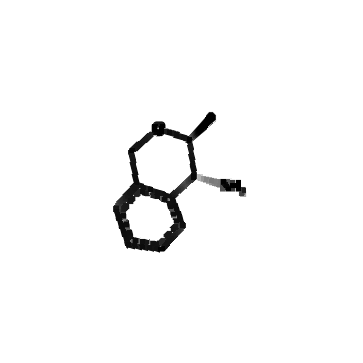 C[C@@H]1OCc2ccccc2[C@H]1N